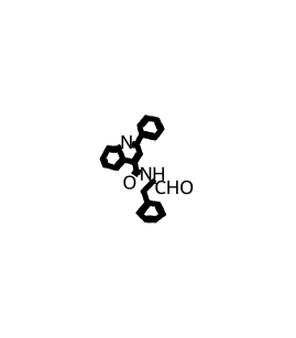 O=C[C@H](Cc1ccccc1)NC(=O)c1cc(-c2ccccc2)nc2ccccc12